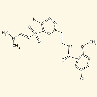 COc1ccc(Cl)cc1C(=O)NCCc1ccc(I)c(S(=O)(=O)N=CN(C)C)c1